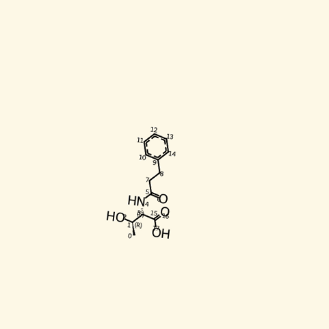 C[C@@H](O)[C@H](NC(=O)CCc1ccccc1)C(=O)O